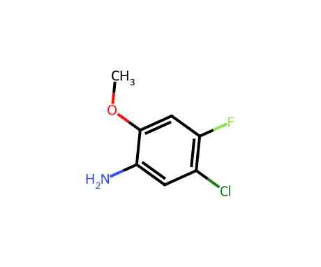 COc1cc(F)c(Cl)cc1N